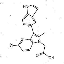 Cc1c(-c2ccc3[nH]ccc3c2)c2cc(Cl)ccc2n1CC(=O)O